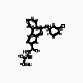 CC(C)COC(=O)NNC(=O)c1ccc2c(c1)nc(Nc1cccc(Cl)c1)c1ccncc12